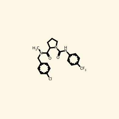 CN(Cc1ccc(Cl)cc1)C(=O)C1CCCN1C(=O)Nc1ccc(C(F)(F)F)cc1